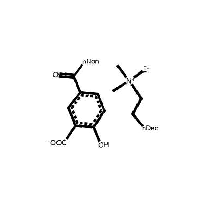 CCCCCCCCCC(=O)c1ccc(O)c(C(=O)[O-])c1.CCCCCCCCCCCC[N+](C)(C)CC